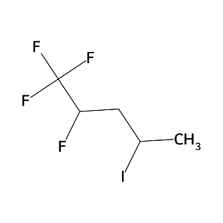 CC(I)CC(F)C(F)(F)F